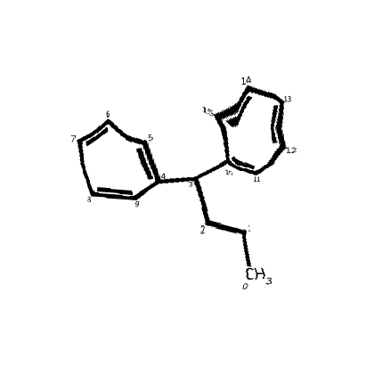 CCCC(c1cc[c]cc1)c1ccccc1